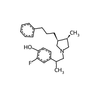 CC(CN1C[C@@H](CCCc2ccccc2)[C@@H](C)C1)c1ccc(O)c(F)c1